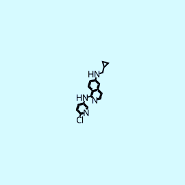 Clc1ccc(Nc2nccc3cc(NCC4CC4)ccc23)cn1